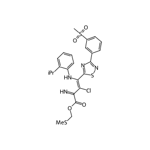 CSCOC(=O)C(=N)/C(Cl)=C(\Nc1ccccc1C(C)C)c1nc(-c2cccc(S(C)(=O)=O)c2)ns1